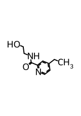 CCc1ccnc(C(=O)NCCO)c1